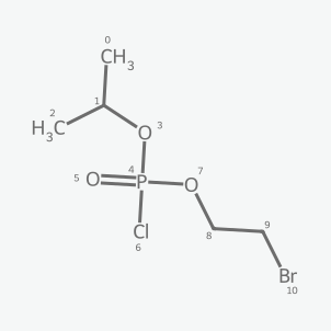 CC(C)OP(=O)(Cl)OCCBr